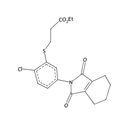 CCOC(=O)CCSc1cc(N2C(=O)C3=C(CCCC3)C2=O)ccc1Cl